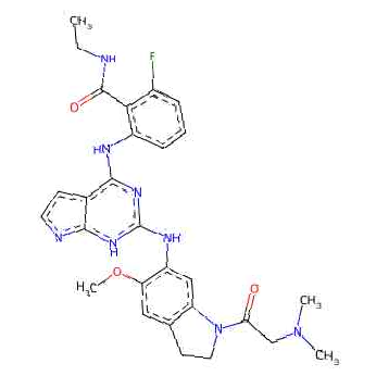 CCNC(=O)c1c(F)cccc1Nc1nc(Nc2cc3c(cc2OC)CCN3C(=O)CN(C)C)[nH]c2nccc1-2